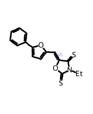 CCN1C(=S)O/C(=C\c2ccc(-c3ccccc3)o2)C1=S